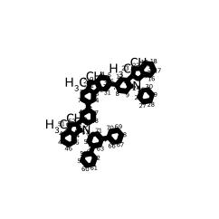 CC1(C)c2ccc(-c3ccc4c(c3)C3C(c5ccccc5C3(C)C)N4c3ccccc3)cc2-c2cc(-c3ccc4c(c3)C3C(c5ccccc5C3(C)C)N4c3cc(-c4ccccc4)cc(-c4ccccc4)c3)ccc21